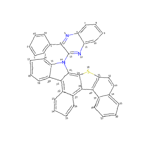 c1ccc(-c2nc3ccccc3nc2-n2c3ccccc3c3c4ccccc4c4c(sc5ccc6ccccc6c54)c32)cc1